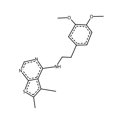 COc1ccc(CCNc2ncnc3sc(C)c(C)c23)cc1OC